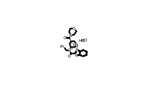 CC(C)CN(C(=O)c1nc2ccccc2[nH]1)[C@@H]1CNC[C@H](C(=O)N2CCOCC2)C1.Cl.Cl